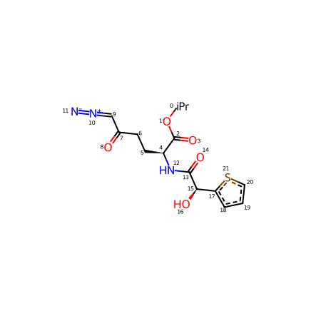 CC(C)OC(=O)[C@H](CCC(=O)C=[N+]=[N-])NC(=O)[C@H](O)c1cccs1